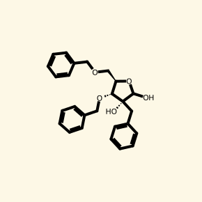 OC1O[C@H](COCc2ccccc2)[C@@H](OCc2ccccc2)[C@]1(O)Cc1ccccc1